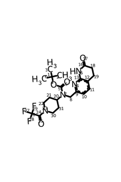 CC(C)(C)OC(=O)N(Cc1ccc2c(n1)NC(=O)CC2)C1CCN(C(=O)C(F)(F)F)CC1